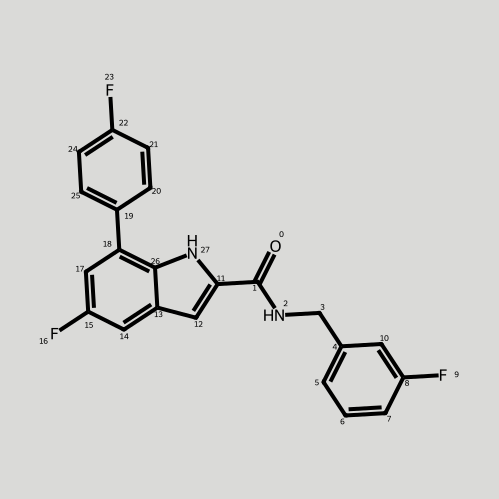 O=C(NCc1cccc(F)c1)c1cc2cc(F)cc(-c3ccc(F)cc3)c2[nH]1